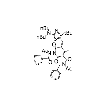 CCCCN(CCCC)c1nc(C(C)(C)C)c(/C=C2\C(=O)N(N(C(C)=O)C(=O)c3ccccc3)C(=O)C(C(=O)N(Cc3ccccc3)C(C)=O)=C2C)s1